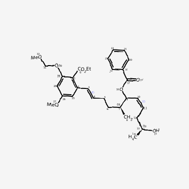 CCOC(=O)c1c(/C=C/CC[C@H](C)C(/C=C\C[C@H](C)O)OC(=O)c2ccccc2)cc(OC)cc1OCOC